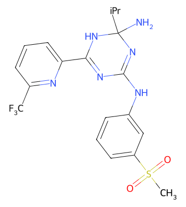 CC(C)C1(N)N=C(Nc2cccc(S(C)(=O)=O)c2)N=C(c2cccc(C(F)(F)F)n2)N1